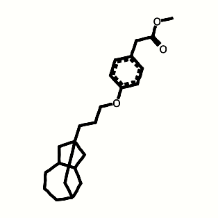 COC(=O)Cc1ccc(OCCCC23CC4CCCC(C2)C(C4)C3)cc1